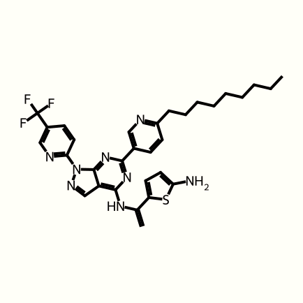 C=C(Nc1nc(-c2ccc(CCCCCCCCC)nc2)nc2c1cnn2-c1ccc(C(F)(F)F)cn1)c1ccc(N)s1